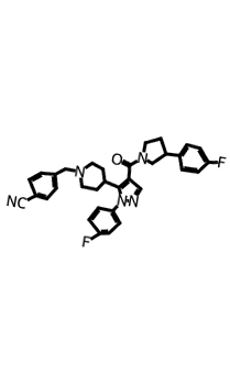 N#Cc1ccc(CN2CCC(c3c(C(=O)N4CCC(c5ccc(F)cc5)C4)cnn3-c3ccc(F)cc3)CC2)cc1